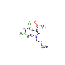 COCCn1cc(C(=O)C(F)(F)F)c2c(Cl)cc(Cl)cc21